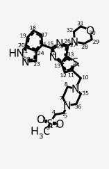 CS(=O)(=O)C[CH]N1CCN(Cc2cc3nc(-c4cccc5[nH]ncc45)nc(N4CCOCC4)c3s2)CC1